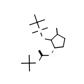 CC(C)(C)OC(=O)N[C@@H]1CCC(F)C1O[Si](C)(C)C(C)(C)C